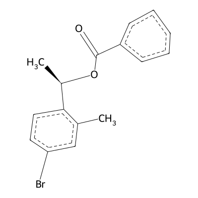 Cc1cc(Br)ccc1[C@@H](C)OC(=O)c1ccccc1